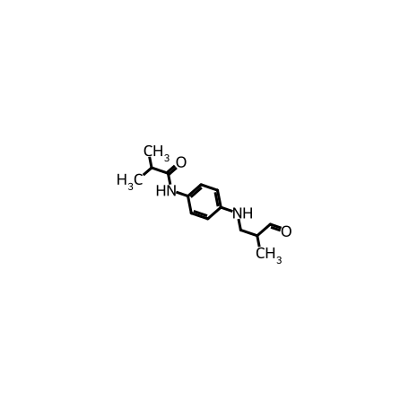 CC(C=O)CNc1ccc(NC(=O)C(C)C)cc1